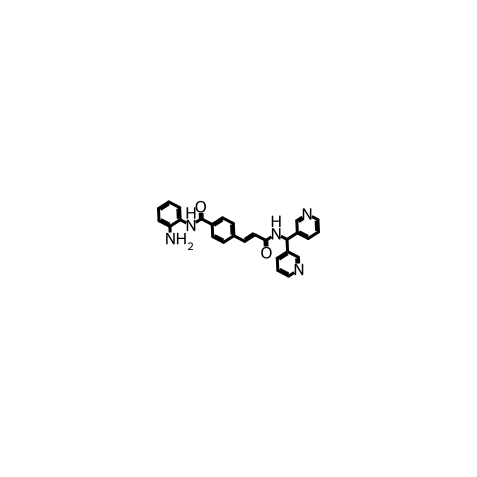 Nc1ccccc1NC(=O)c1ccc(/C=C/C(=O)NC(c2cccnc2)c2cccnc2)cc1